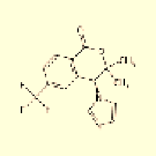 CC1(C)OC(=O)c2ccc(C(F)(F)F)cc2[C@@H]1n1ccnc1